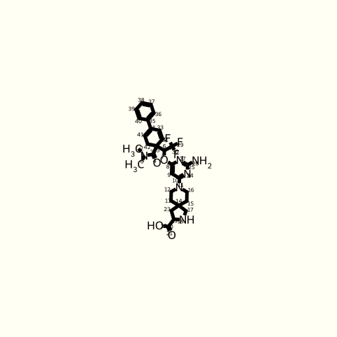 CN(C)C(=O)C1(C(Oc2cc(N3CCC4(CC3)CNC(C(=O)O)C4)nc(N)n2)C(F)(F)F)C=CC(c2ccccc2)=CC1